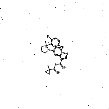 CC1(C(=N)SC(=N)c2cnn3ccc(N4CCC[C@]4(C)c4cc(F)ccc4F)nc23)CC1